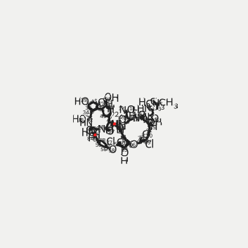 CN[C@H](CC(C)C)C(=O)N[C@H]1C(=O)N[C@@H](CC(N)=O)C(=O)N[C@H]2CN[C@H]3C(=O)N[C@H](C(=O)N[C@H](CO)C4=CC(O)CC(O)=C4C4CC3=CC=C4CO)[C@H](O)C3=CC=C(Oc4cc2cc(c4O)OC2=C(Cl)C=C(CC2)[C@H]1O)C(Cl)C3